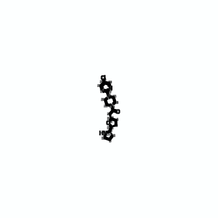 O=C(C[C@H]1CC[C@@H]([C@@H]2CCCN2)O1)N1CCN(c2ncc(Cl)cn2)CC1